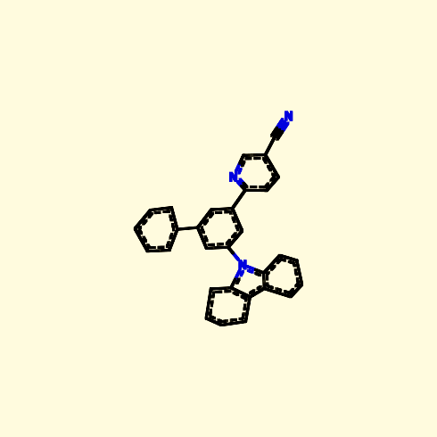 N#Cc1ccc(-c2cc(-c3ccccc3)cc(-n3c4ccccc4c4ccccc43)c2)nc1